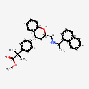 COC(=O)C(C)(C)c1ccc([C@H]2C[C@H](CNC(C)c3cccc4ccccc34)Oc3ccccc32)cc1